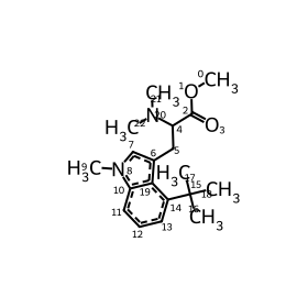 COC(=O)C(Cc1cn(C)c2cccc(C(C)(C)C)c12)N(C)C